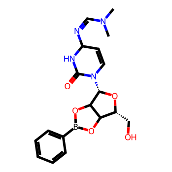 CN(C)/C=N\C1C=CN([C@@H]2O[C@H](CO)C3OB(c4ccccc4)OC32)C(=O)N1